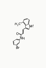 Cc1cccc2[nH]cc(/C=C/C(=O)Nc3cccc(Br)c3)c12